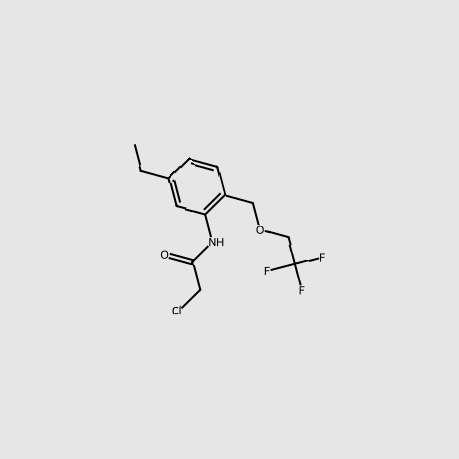 CCc1ccc(COCC(F)(F)F)c(NC(=O)CCl)c1